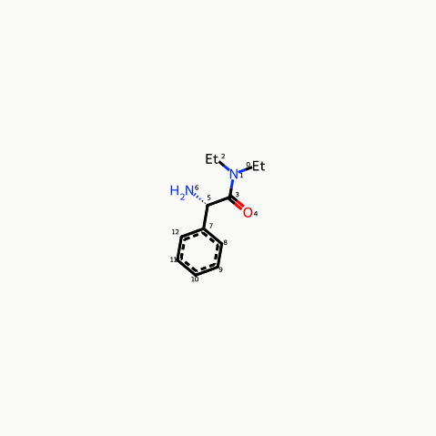 CCN(CC)C(=O)[C@@H](N)c1ccccc1